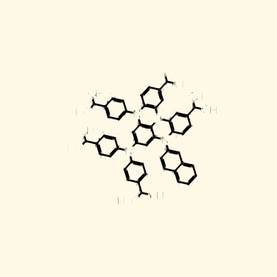 CC(C)c1ccc(N(c2ccc(C(C)C)cc2)c2cc3c4c(c2)N(c2ccc5ccccc5c2)c2ccc(C(C)C)cc2B4c2cc(C(C)C)ccc2N3c2ccc(C(C)C)cc2)cc1